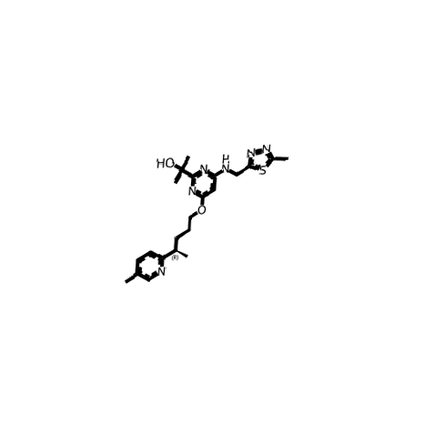 Cc1ccc([C@H](C)CCCOc2cc(NCc3nnc(C)s3)nc(C(C)(C)O)n2)nc1